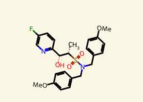 COc1ccc(CN(Cc2ccc(OC)cc2)S(=O)(=O)[C@@H](C)[C@H](O)c2ccc(F)cn2)cc1